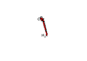 CCCCCCCCCCCCCCCCCCCCCCc1ccc(C(=O)Cl)cc1